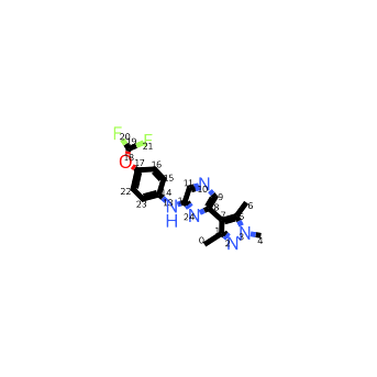 Cc1nn(C)c(C)c1-c1cncc(Nc2ccc(OC(F)F)cc2)n1